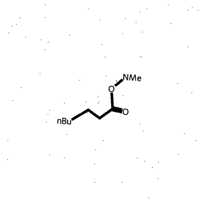 [CH2]CCCCCC(=O)ONC